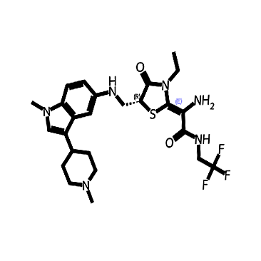 CCN1C(=O)[C@@H](CNc2ccc3c(c2)c(C2CCN(C)CC2)cn3C)S/C1=C(/N)C(=O)NCC(F)(F)F